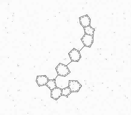 c1ccc2c(c1)sc1ccc(-c3ccc(-c4ccc(-n5c6ccccc6c6ccc7sc8ccccc8c7c65)cc4)cc3)cc12